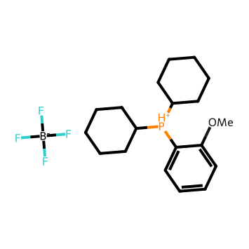 COc1ccccc1[PH+](C1CCCCC1)C1CCCCC1.F[B-](F)(F)F